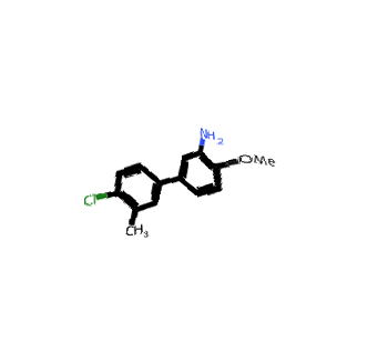 COc1ccc(-c2ccc(Cl)c(C)c2)cc1N